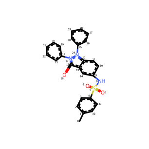 Cc1ccc(S(=O)(=O)Nc2ccc3c(c2)c(=O)n(-c2ccccc2)n3-c2ccccc2)cc1